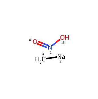 O=NO.[CH3][Na]